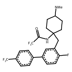 CNC1CCC(Cc2cc(-c3ccc(C(F)(F)F)cc3)ccc2F)(NC(=O)C(F)(F)F)CC1